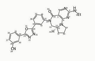 CCNc1ncc2c(n1)N1CCC[C@H]1CN(c1cccc(-c3nnc(-c4cccc(C#N)c4)o3)c1)C2=O